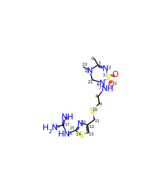 CC1=NS(=O)(=O)N(NCCSCc2csc(NC(=N)N)n2)CN1C